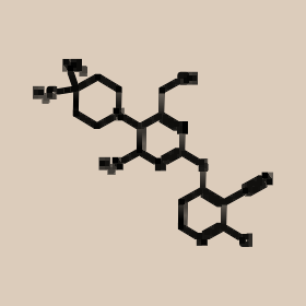 CC1(N)CCN(c2c(N)nc(Sc3ccnc(Cl)c3C#N)nc2CO)CC1